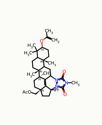 C=C(C)O[C@H]1CC[C@@]2(C)C(CC[C@]3(C)C2CC2C4=C5C(C(C)C)(CC[C@]5(COC(C)=O)CC[C@]43C)n3c(=O)n(C)c(=O)n32)C1(C)C